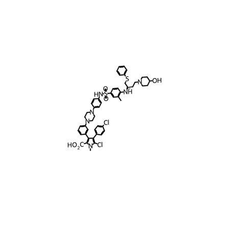 Cc1cc(S(=O)(=O)Nc2ccc(N3CCN(c4cccc(-c5c(-c6ccc(Cl)cc6)c(Cl)n(C)c5C(=O)O)c4)CC3)cc2)ccc1N[C@H](CCN1CCC(O)CC1)CSc1ccccc1